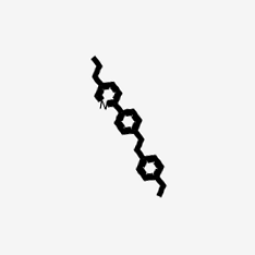 CCCc1ccc(-c2ccc(CCc3ccc(CC)cc3)cc2)nc1